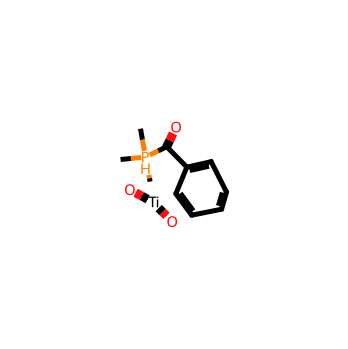 C[PH](C)(C)C(=O)c1ccccc1.[O]=[Ti]=[O]